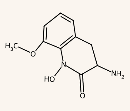 COc1cccc2c1N(O)C(=O)C(N)C2